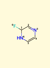 F[C]1C=NC=CN1